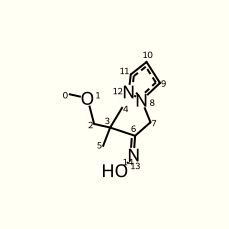 COCC(C)(C)/C(Cn1cccn1)=N\O